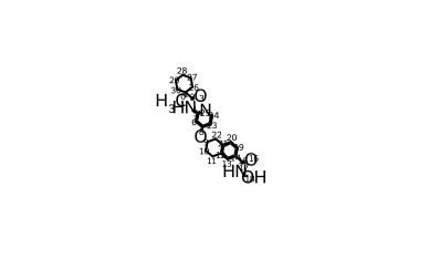 CC1(C(=O)Nc2cc(OC3CCc4cc(C(=O)NO)ccc4C3)ccn2)CCCCC1